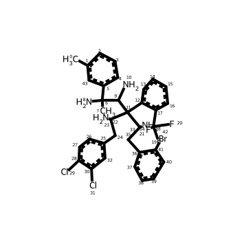 Cc1cccc(C(C)(N)C(N)C(c2ccccc2C(F)(F)F)(C(N)Cc2ccc(Cl)c(Cl)c2)C(N)Cc2ccccc2Br)c1